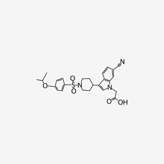 CC(C)Oc1ccc(S(=O)(=O)N2CCC(c3cn(CC(=O)O)c4cc(C#N)ccc34)CC2)cc1